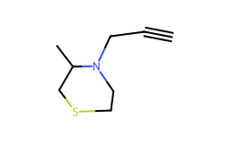 C#CCN1CCSCC1C